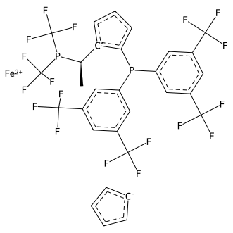 C[C@H]([c-]1cccc1P(c1cc(C(F)(F)F)cc(C(F)(F)F)c1)c1cc(C(F)(F)F)cc(C(F)(F)F)c1)P(C(F)(F)F)C(F)(F)F.[Fe+2].c1cc[cH-]c1